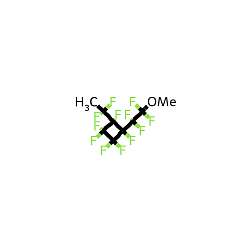 COC(F)(F)C(F)(F)C1(F)C(F)(F)C(F)(F)C1(F)C(C)(F)F